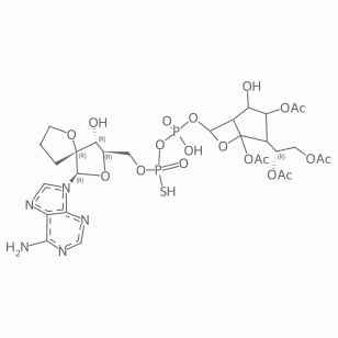 CC(=O)OC[C@H](OC(C)=O)C1C(OC(C)=O)C(O)C2C(OP(=O)(O)OP(=O)(S)OC[C@H]3O[C@@H](n4cnc5c(N)ncnc54)[C@@]4(CCCO4)[C@@H]3O)OC21OC(C)=O